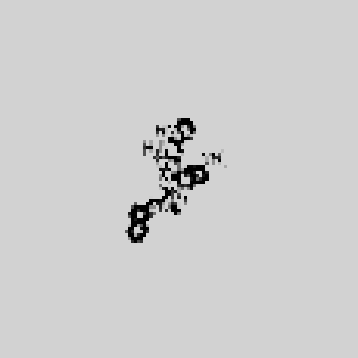 CC(=O)N[C@@H](Cc1ccc2ccccc2c1)C(=O)N[C@@H](Cc1ccc(N)cc1)C(=O)N[C@@H](Cc1c[nH]c2ccccc12)C(N)=O